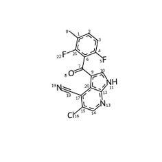 Cc1ccc(F)c(C(=O)c2c[nH]c3ncc(Cl)c(C#N)c23)c1F